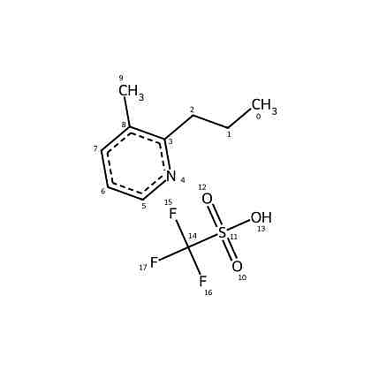 CCCc1ncccc1C.O=S(=O)(O)C(F)(F)F